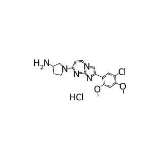 COc1cc(OC)c(-c2cn3ccc(N4CCC(N)C4)nc3n2)cc1Cl.Cl